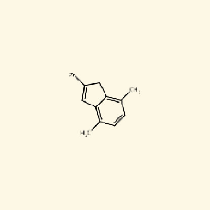 Cc1ccc(C)c2c1C=[C]([Zr])C2